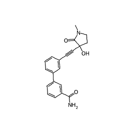 CN1CCC(O)(C#Cc2cccc(-c3cccc(C(N)=O)c3)c2)C1=O